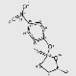 C[C@@H]1CSP(=S)(Oc2ccc([N+](=O)[O-])cc2)O1